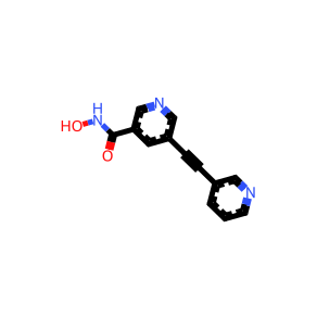 O=C(NO)c1cncc(C#Cc2cccnc2)c1